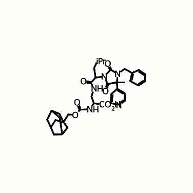 CC(C)CC(C(=O)NCC(NC(=O)OCC12CC3CC(CC(C3)C1)C2)C(=O)O)N1C(=O)N(Cc2ccccc2)C(C)(c2ccncc2)C1=O